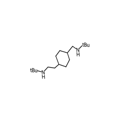 CC(C)(C)NCCC1CCC(CNC(C)(C)C)CC1